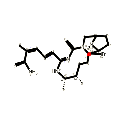 C=C(N)\C(C)=C/C=C/C(=N\C(=C)N1CC2CCC(C1)N2C)N[C@@H](C)[C@@H](C)CCCC(C)C